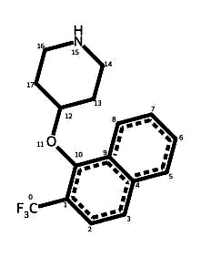 FC(F)(F)c1ccc2ccccc2c1OC1CCNCC1